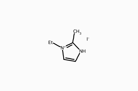 CC[n+]1cc[nH]c1C.[I-]